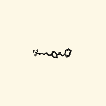 FC(F)(F)C=CCC=Cc1ccc(OCc2ccccc2)cc1